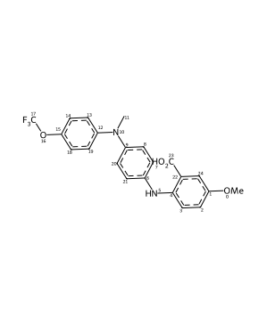 COc1ccc(Nc2ccc(N(C)c3ccc(OC(F)(F)F)cc3)cc2)c(C(=O)O)c1